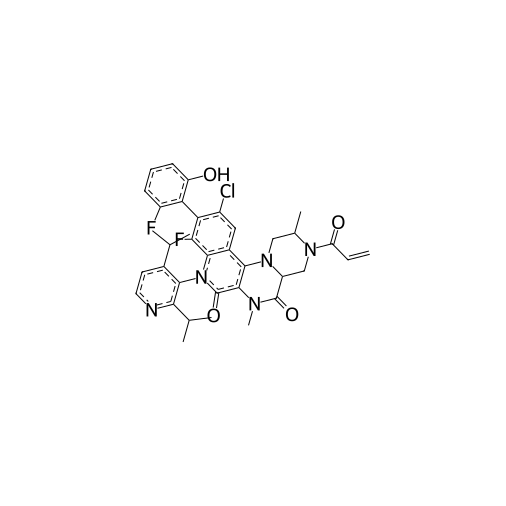 C=CC(=O)N1CC2C(=O)N(C)c3c(c4cc(Cl)c(-c5c(O)cccc5F)c(F)c4n(-c4c(C(C)C)ccnc4C(C)C)c3=O)N2CC1C